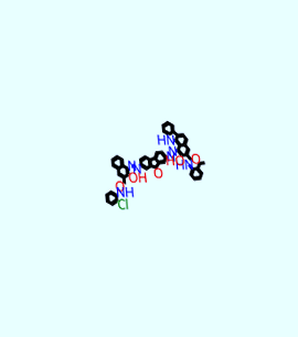 CCc1ccccc1NC(=O)c1cc2ccc3c4ccccc4[nH]c3c2c(N=Nc2ccc3c(c2)C(=O)c2cc(N=Nc4c(O)c(CONc5ccccc5Cl)cc5ccccc45)ccc2-3)c1O